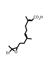 CCC1(C)OC1CCC(C)=CCCC(C)=CC(=O)O